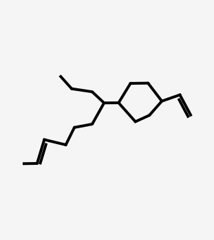 C=CC1CCC(C(CCC)CCCC=CC)CC1